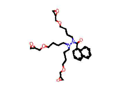 O=C(c1cccc2ccccc12)N(CCCCOCC1CO1)N(CCCCOCC1CO1)CCCCOCC1CO1